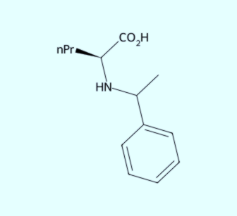 CCC[C@H](NC(C)c1ccccc1)C(=O)O